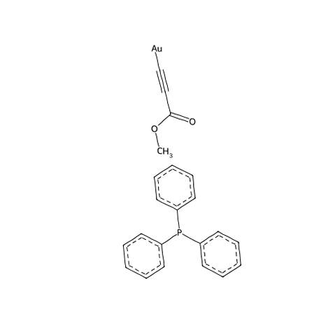 COC(=O)C#[C][Au].c1ccc(P(c2ccccc2)c2ccccc2)cc1